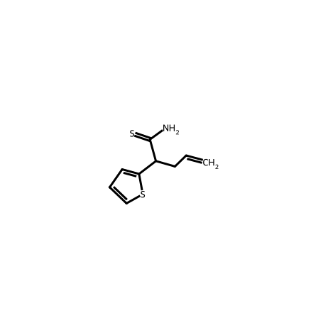 C=CCC(C(N)=S)c1cccs1